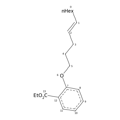 CCCCCCC=CCCCOc1ccccc1C(=O)OCC